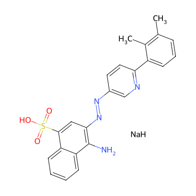 Cc1cccc(-c2ccc(N=Nc3cc(S(=O)(=O)O)c4ccccc4c3N)cn2)c1C.[NaH]